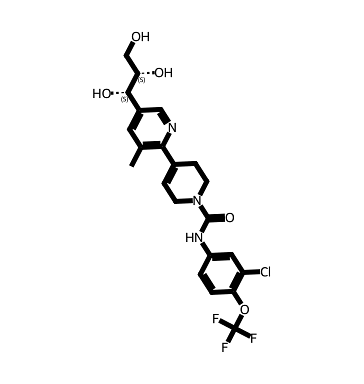 Cc1cc([C@H](O)[C@@H](O)CO)cnc1C1=CCN(C(=O)Nc2ccc(OC(F)(F)F)c(Cl)c2)CC1